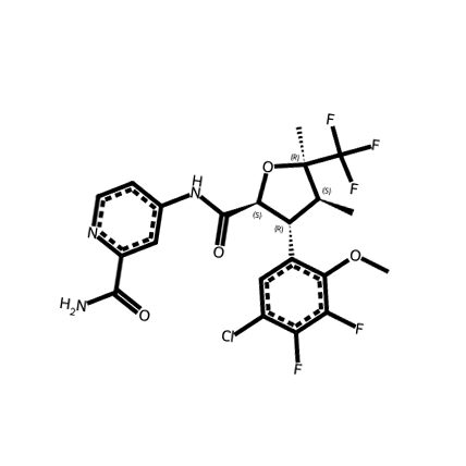 COc1c([C@@H]2[C@@H](C(=O)Nc3ccnc(C(N)=O)c3)O[C@@](C)(C(F)(F)F)[C@H]2C)cc(Cl)c(F)c1F